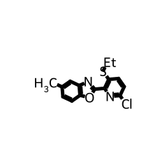 CCSc1ccc(Cl)nc1-c1nc2cc(C)ccc2o1